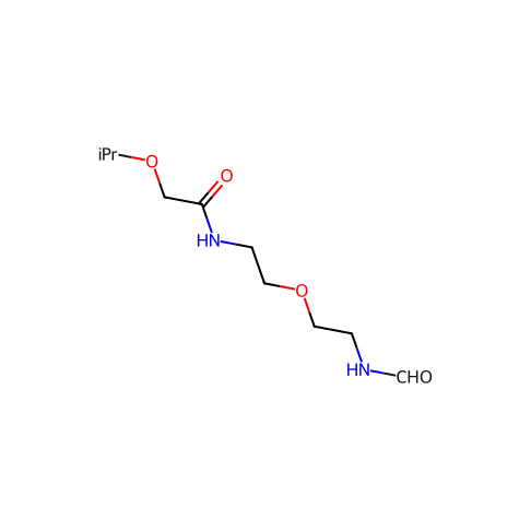 CC(C)OCC(=O)NCCOCCNC=O